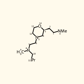 CNCC[C@H]1CN(CCN(C)CC(C)C)CCO1